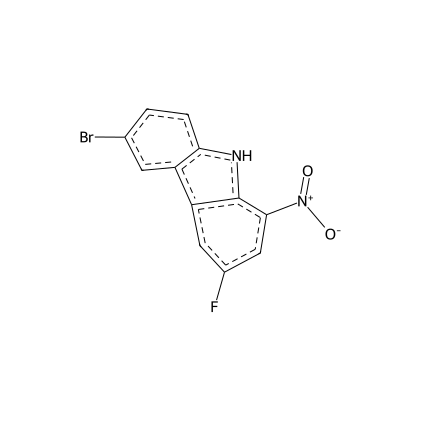 O=[N+]([O-])c1cc(F)cc2c1[nH]c1ccc(Br)cc12